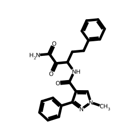 Cn1cc(C(=O)NC(CCc2ccccc2)C(=O)C(N)=O)c(-c2ccccc2)n1